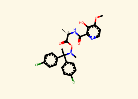 COc1ccnc(C(=O)N[C@@H](C)C(=O)ON(C)C(C)(c2ccc(Cl)cc2)c2ccc(Cl)cc2)c1O